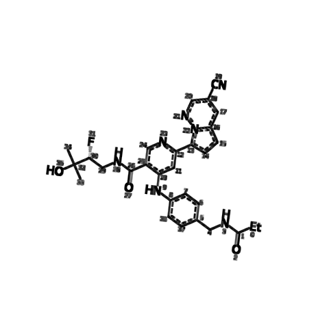 CCC(=O)NCc1ccc(Nc2cc(-c3ccc4cc(C#N)cnn34)ncc2C(=O)NC[C@@H](F)C(C)(C)O)cc1